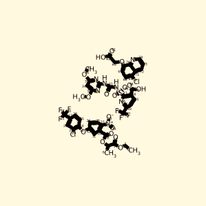 CCOC(=O)C(C)OC(=O)c1cc(Oc2ccc(C(F)(F)F)cc2Cl)ccc1[N+](=O)[O-].COc1cc(OC)nc(NC(=O)NS(=O)(=O)c2nc(C(F)(F)F)ccc2C(=O)O)n1.O=C(O)COc1ccc(Cl)c2cccnc12